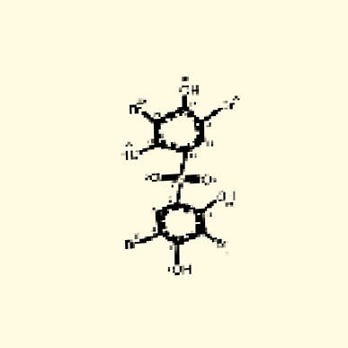 O=S(=O)(c1cc(Br)c(O)c(Br)c1O)c1cc(Br)c(O)c(Br)c1O